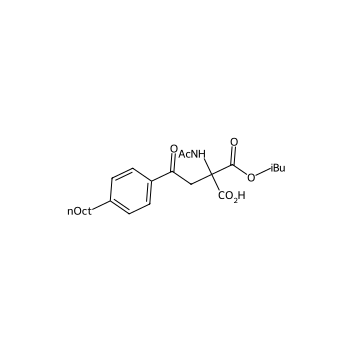 CCCCCCCCc1ccc(C(=O)CC(NC(C)=O)(C(=O)O)C(=O)OC(C)CC)cc1